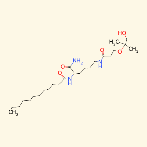 CCCCCCCCCCCC(=O)NC(CCCCNC(=O)CCOC(C)(C)CO)C(N)=O